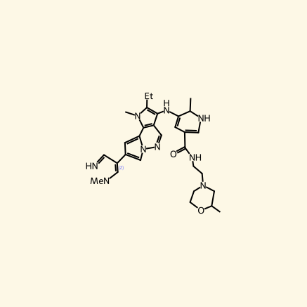 CCc1c(NC2=CC(C(=O)NCCN3CCOC(C)C3)=CNC2C)c2cnn3cc(/C(C=N)=C/NC)cc3c2n1C